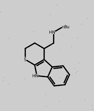 CCCCNCC1CCSc2[nH]c3ccccc3c21